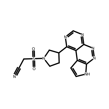 N#CCS(=O)(=O)N1CCC(c2ncnc3nnc4[nH]ccc4c23)C1